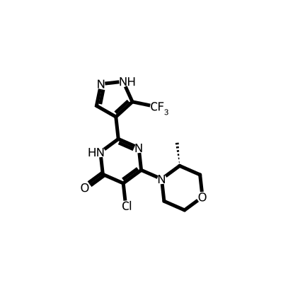 C[C@@H]1COCCN1c1nc(-c2cn[nH]c2C(F)(F)F)[nH]c(=O)c1Cl